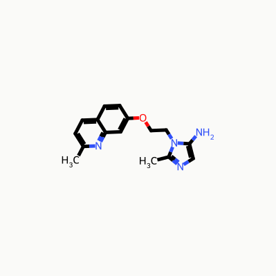 Cc1ccc2ccc(OCCn3c(N)cnc3C)cc2n1